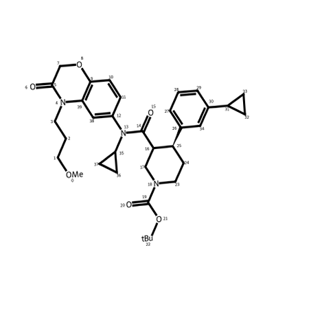 COCCCN1C(=O)COc2ccc(N(C(=O)C3CN(C(=O)OC(C)(C)C)CC[C@@H]3c3cccc(C4CC4)c3)C3CC3)cc21